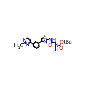 Cc1nccc(-c2cccc(-c3csc(NC(=O)CNC(=O)OC(C)(C)C)n3)c2)n1